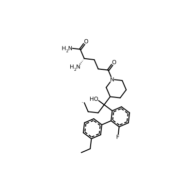 [CH2]CCC(O)(c1cccc(F)c1-c1cccc(CC)c1)C1CCCN(C(=O)CC[C@H](N)C(N)=O)C1